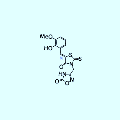 COc1cccc(/C=C2\SC(=S)N(Cc3noc(=O)[nH]3)C2=O)c1O